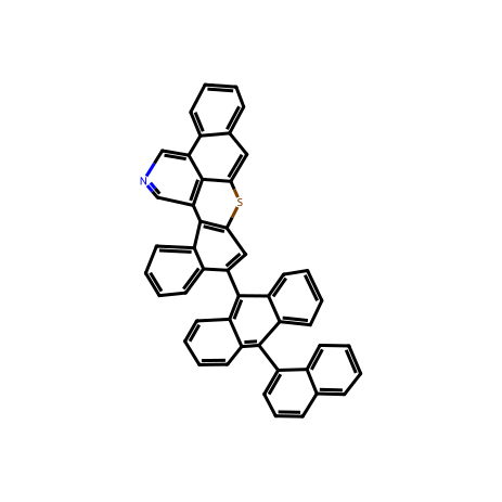 c1ccc2c(-c3c4ccccc4c(-c4cc5c(c6ccccc46)-c4cncc6c4c(cc4ccccc46)S5)c4ccccc34)cccc2c1